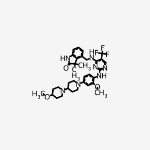 COc1cc(N2CCC(N3CCC(OC)CC3)CC2)ccc1Nc1ncc(C(F)(F)F)c(NCc2cccc3c2C(C)(C)C(=O)N3)n1